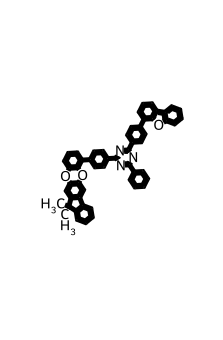 CC1(C)c2ccccc2-c2cc3c(cc21)Oc1cccc(-c2ccc(-c4nc(-c5ccccc5)nc(-c5ccc(-c6cccc7c6oc6ccccc67)cc5)n4)cc2)c1O3